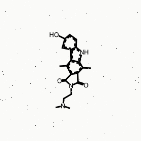 Cc1c2c(c(C)c3c1[nH]c1ccc(O)cc13)C(=O)N(CCN(C)C)C2=O